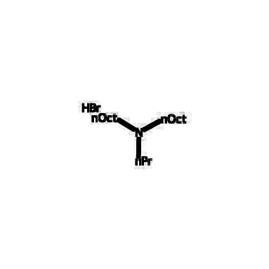 Br.CCCCCCCCN(CCC)CCCCCCCC